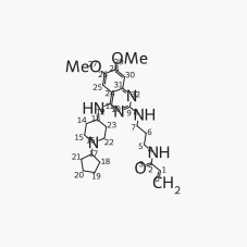 C=CC(=O)NCCCNc1nc(NC2CCN(C3CCCC3)CC2)c2cc(OC)c(OC)cc2n1